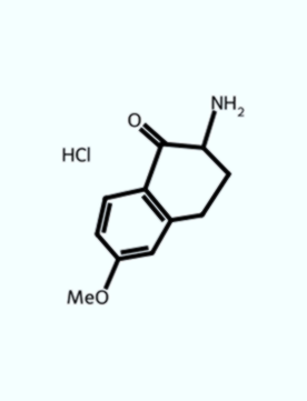 COc1ccc2c(c1)CCC(N)C2=O.Cl